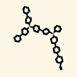 C#Cc1ccc(-c2ccc(-c3ccc(N(c4ccccc4)c4ccc(-c5ccc(N(c6ccc(-c7ccccc7)cc6)c6ccc(-c7ccccc7)cc6)cc5)cc4)cc3)cc2)cc1